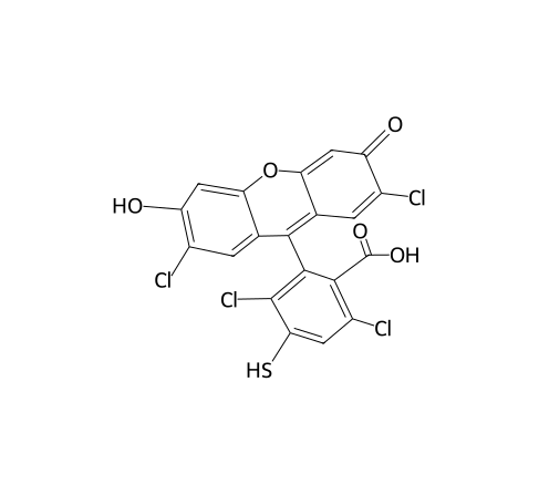 O=C(O)c1c(Cl)cc(S)c(Cl)c1-c1c2cc(Cl)c(=O)cc-2oc2cc(O)c(Cl)cc12